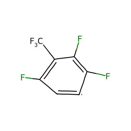 Fc1[c]cc(F)c(C(F)(F)F)c1F